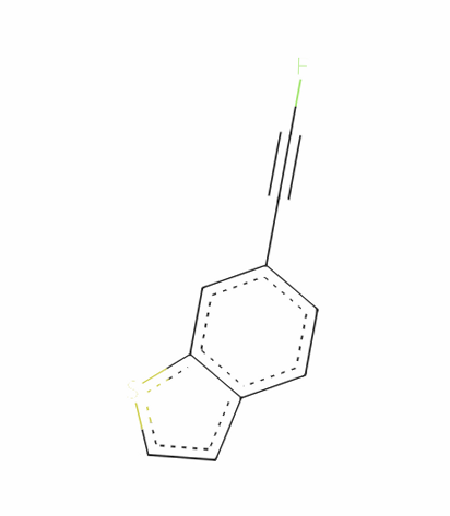 FC#Cc1ccc2c[c]sc2c1